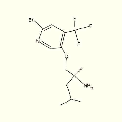 CC(C)C[C@](C)(N)COc1cnc(Br)cc1C(F)(F)F